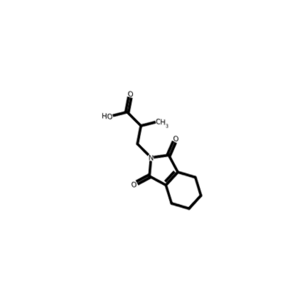 CC(CN1C(=O)C2=C(CCCC2)C1=O)C(=O)O